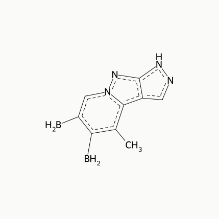 Bc1cn2nc3[nH]ncc3c2c(C)c1B